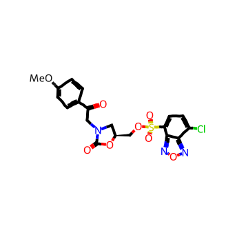 COc1ccc(C(=O)CN2C[C@@H](COS(=O)(=O)c3ccc(Cl)c4nonc34)OC2=O)cc1